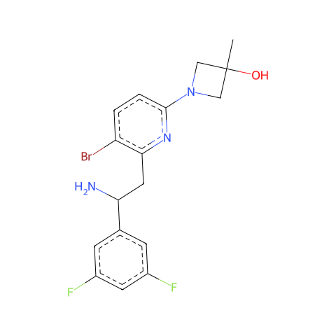 CC1(O)CN(c2ccc(Br)c(CC(N)c3cc(F)cc(F)c3)n2)C1